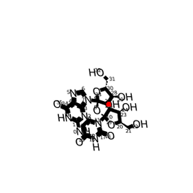 Nc1nc2c(ncn2[C@@]2(O[C@@]3(n4ccc(=O)[nH]c4=O)O[C@H](CO)[C@@H](O)[C@H]3O)C[C@H](O)[C@@H](CO)O2)c(=O)[nH]1